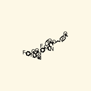 CCOc1ccn(-c2ccc(F)cc2)c(=O)c1C(=O)Nc1ccc(OC2=CC=NC/C2=C2/OCCO/C2=C(/C)OCCCN2CCN(C(C)=O)CC2)c(F)c1